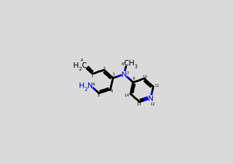 C=C/C=C(\C=C/N)N(C)c1ccncc1